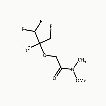 CON(C)C(=O)COC(C)(CF)C(F)F